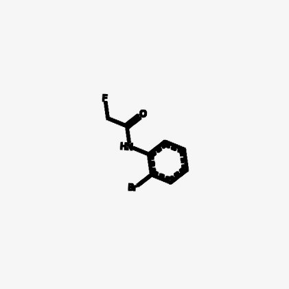 O=C(CF)Nc1ccccc1Br